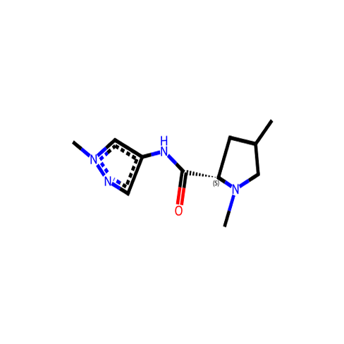 CC1C[C@@H](C(=O)Nc2cnn(C)c2)N(C)C1